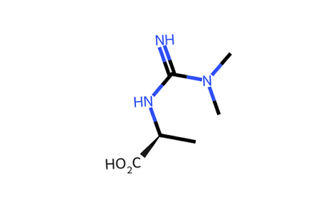 C[C@H](NC(=N)N(C)C)C(=O)O